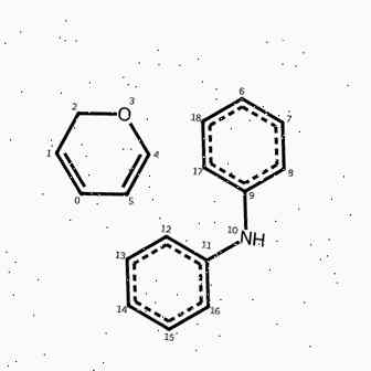 C1=CCOC=C1.c1ccc(Nc2ccccc2)cc1